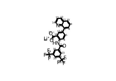 O=C(Nc1ccc(-c2cccc3cccnc23)cc1C(=O)[O-])c1cc(C(F)(F)F)cc(C(F)(F)F)c1.[Li+]